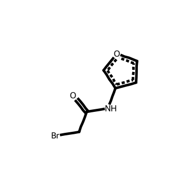 O=C(CBr)Nc1ccoc1